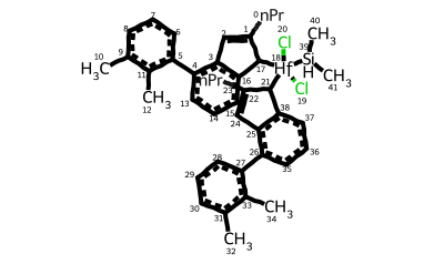 CCCC1=Cc2c(-c3cccc(C)c3C)cccc2[CH]1[Hf]([Cl])([Cl])([CH]1C(CCC)=Cc2c(-c3cccc(C)c3C)cccc21)[SiH](C)C